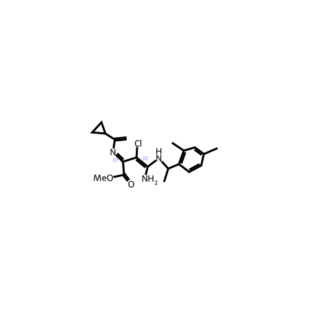 C=C(/N=C(C(=O)OC)\C(Cl)=C(/N)NC(C)c1ccc(C)cc1C)C1CC1